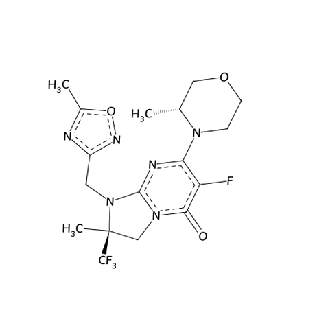 Cc1nc(CN2c3nc(N4CCOC[C@H]4C)c(F)c(=O)n3C[C@@]2(C)C(F)(F)F)no1